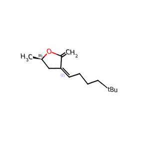 C=C1O[C@H](C)C/C1=C/CCCC(C)(C)C